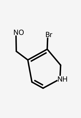 O=NCC1=C(Br)CNC=C1